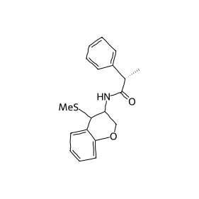 CSC1c2ccccc2OCC1NC(=O)[C@@H](C)c1ccccc1